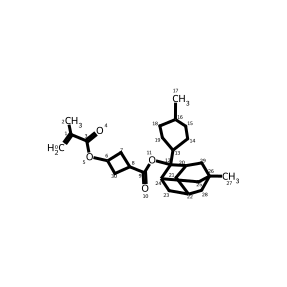 C=C(C)C(=O)OC1CC(C(=O)OC2(C3CCC(C)CC3)C3CC4CC2CC(C)(C4)C3)C1